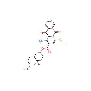 CCSc1cc(C(=O)O[C@@H]2CC[C@@H]3CC(OC)CCC3C2)c(N)c2c1C(=O)c1ccccc1C2=O